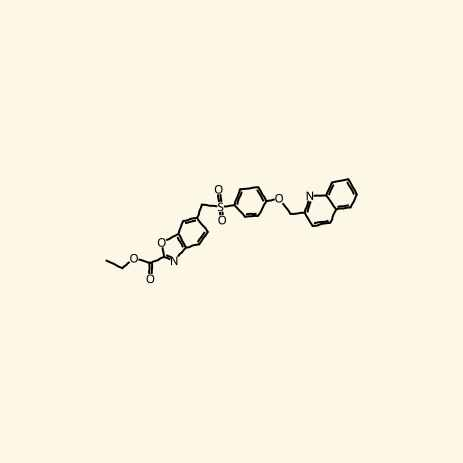 CCOC(=O)c1nc2ccc(CS(=O)(=O)c3ccc(OCc4ccc5ccccc5n4)cc3)cc2o1